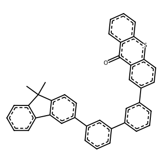 CC1(C)c2ccccc2-c2cc(-c3cccc(-c4cccc(-c5ccc6sc7ccccc7c(=O)c6c5)c4)c3)ccc21